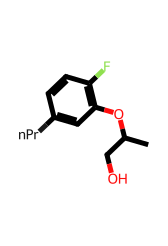 CCCc1ccc(F)c(OC(C)CO)c1